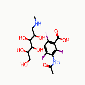 CC(=O)Nc1c(I)cc(I)c(C(=O)O)c1I.CNCC(O)C(O)C(O)C(O)CO